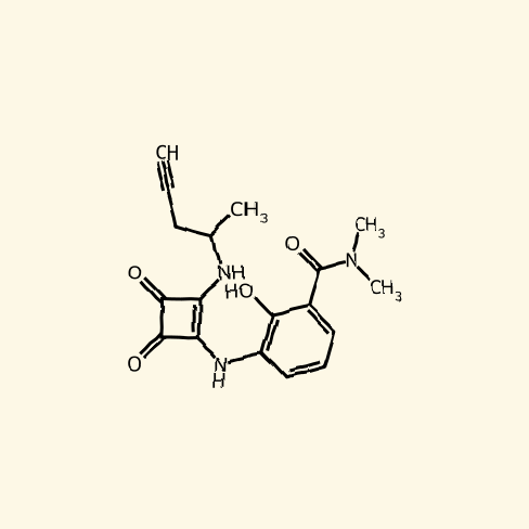 C#CCC(C)Nc1c(Nc2cccc(C(=O)N(C)C)c2O)c(=O)c1=O